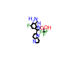 NCc1cc(F)cc2c(-c3ccc4ncccc4n3)c[nH]c12.O=C(O)C(F)(F)F